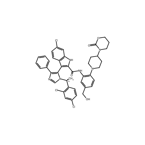 C[C@@H](c1ccc(Cl)cc1Cl)n1cnc(-c2ccccc2)c1-c1c(C(=O)Nc2cc(CO)ccc2N2CCC(N3CCCOC3=O)CC2)[nH]c2cc(Cl)ccc12